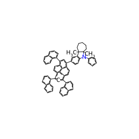 CC12CCCCCC1(C)N(c1ccccc1)c1ccc(-c3cc(-c4cccc5ccccc45)c4ccc5c(-c6cccc7ccccc67)cc(-c6cccc7ccccc67)c6ccc3c4c65)cc12